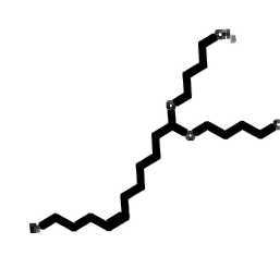 CCCCCOC(CCCCC/C=C\CCCBr)OCCCCC